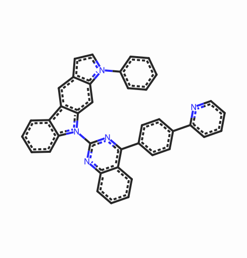 c1ccc(-n2ccc3cc4c5ccccc5n(-c5nc(-c6ccc(-c7ccccn7)cc6)c6ccccc6n5)c4cc32)cc1